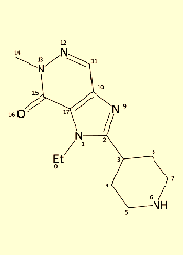 CCn1c(C2CCNCC2)nc2cnn(C)c(=O)c21